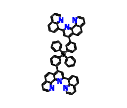 c1ccc([Si](c2ccccc2)(c2cccc(-c3cc(-c4cccc5cccnc45)nc4c3ccc3cccnc34)c2)c2cccc(-c3cc(-c4cccc5cccnc45)nc4c3ccc3cccnc34)c2)cc1